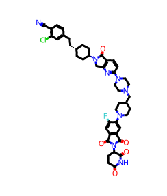 N#Cc1ccc(CC[C@H]2CC[C@H](N3Cc4nc(N5CCN(CC6CCN(c7cc8c(cc7F)C(=O)N(C7CCC(=O)NC7=O)C8=O)CC6)CC5)ccc4C3=O)CC2)cc1Cl